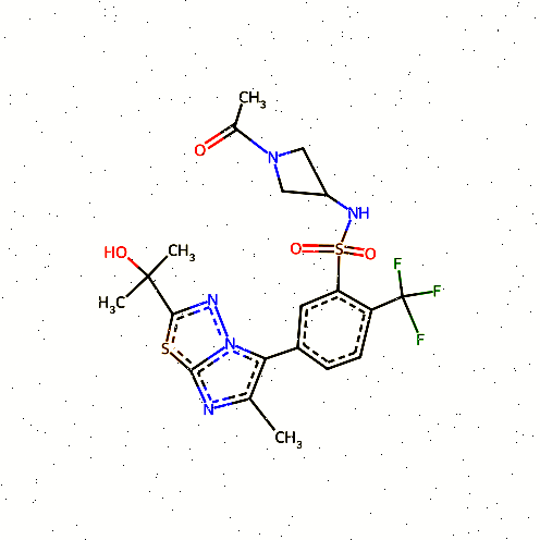 CC(=O)N1CC(NS(=O)(=O)c2cc(-c3c(C)nc4sc(C(C)(C)O)nn34)ccc2C(F)(F)F)C1